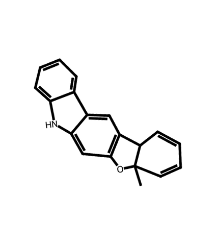 CC12C=CC=CC1c1cc3c(cc1O2)[nH]c1ccccc13